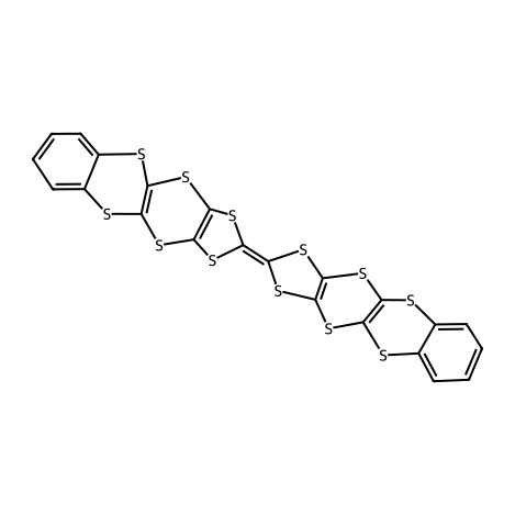 c1ccc2sc3sc4c(sc=3sc2c1)SC(=C1Sc2sc3sc5ccccc5sc=3sc2S1)S4